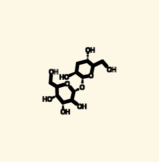 OCC1O[C@H](O[C@H]2OC(CO)[C@@H](O)C[C@@H]2O)C(O)[C@H](O)[C@@H]1O